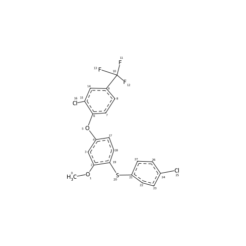 COc1cc(Oc2ccc(C(F)(F)F)cc2Cl)ccc1Sc1ccc(Cl)cc1